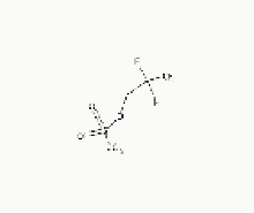 O=S(=O)(OCC(F)(F)C(F)(F)F)C(Cl)(Cl)Cl